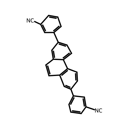 [C-]#[N+]c1cccc(-c2ccc3c(ccc4cc(-c5cccc(C#N)c5)ccc43)c2)c1